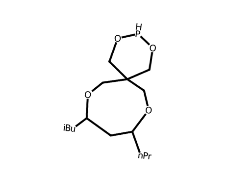 CCCC1CC(C(C)CC)OCC2(COPOC2)CO1